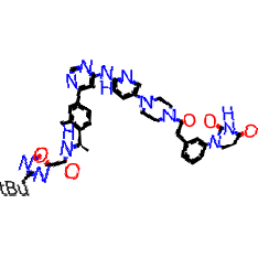 Cc1cc(-c2cc(Nc3ccc(N4CCN(C(=O)Cc5cccc(N6CCC(=O)NC6=O)c5)CC4)cn3)ncn2)ccc1[C@@H](C)NC(=O)c1nc(C(C)(C)C)no1